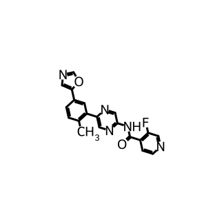 Cc1ccc(-c2cnco2)cc1-c1cnc(NC(=O)c2ccncc2F)cn1